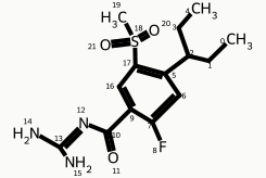 CCC(CC)c1cc(F)c(C(=O)N=C(N)N)cc1S(C)(=O)=O